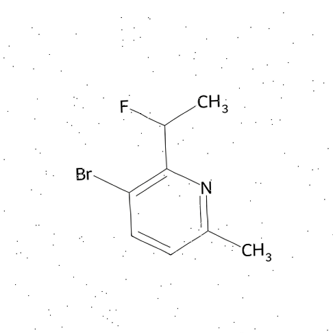 Cc1ccc(Br)c(C(C)F)n1